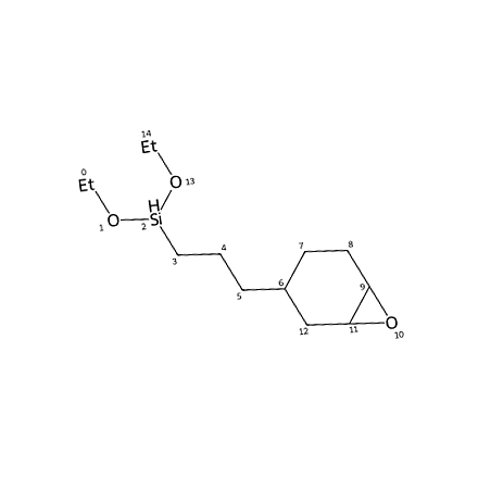 CCO[SiH](CCCC1CCC2OC2C1)OCC